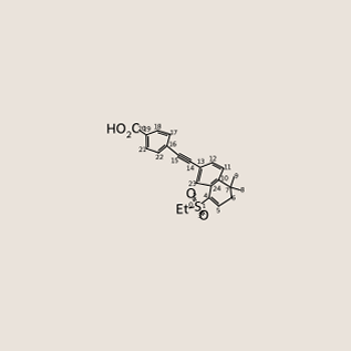 CCS(=O)(=O)C1=CCC(C)(C)c2ccc(C#Cc3ccc(C(=O)O)cc3)cc21